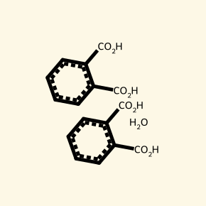 O.O=C(O)c1ccccc1C(=O)O.O=C(O)c1ccccc1C(=O)O